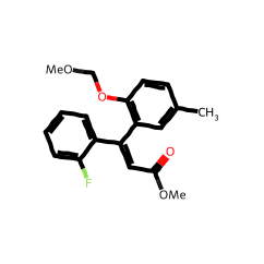 COCOc1ccc(C)cc1C(=CC(=O)OC)c1ccccc1F